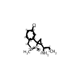 C=CC(N)C1CC12c1cc(Cl)ccc1CN(C)[S+]2[O-]